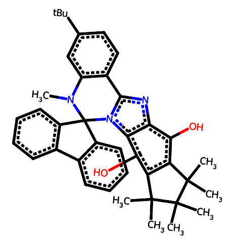 CN1c2cc(C(C)(C)C)ccc2-c2nc3c(O)c4c(c(O)c3n2C12c1ccccc1-c1ccccc12)C(C)(C)C(C)(C)C4(C)C